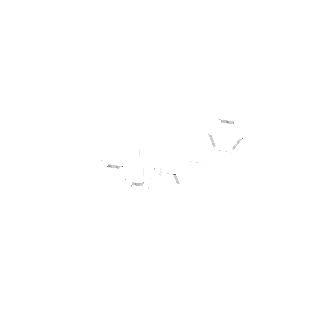 C/N=C(C)\N=N/NC(=O)OCc1ccccc1